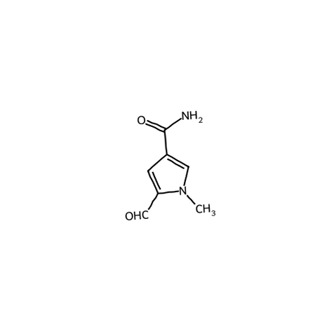 Cn1cc(C(N)=O)cc1C=O